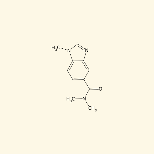 CN(C)C(=O)c1ccc2c(c1)n[c]n2C